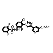 COc1cncc(-c2cn(-c3c(Cl)ccc(NS(=O)(=O)c4c(F)cccc4F)c3F)nn2)c1